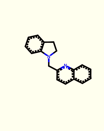 c1ccc2c(c1)CCN2Cc1ccc2ccccc2n1